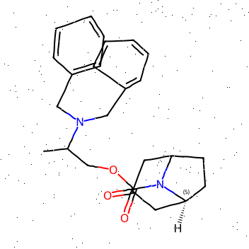 CC(COC(=O)N1C2CC[C@H]1CC(=O)C2)N(Cc1ccccc1)Cc1ccccc1